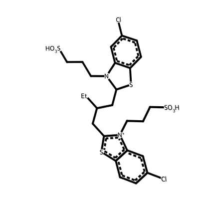 CCC(Cc1sc2ccc(Cl)cc2[n+]1CCCS(=O)(=O)O)CC1Sc2ccc(Cl)cc2N1CCCS(=O)(=O)O